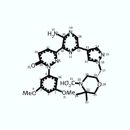 COc1cc(OC)cc(-n2nc(-c3nc(-c4cnn(C[C@H]5CN(C(=O)O)C(C)(C)CO5)c4)cnc3N)ccc2=O)c1